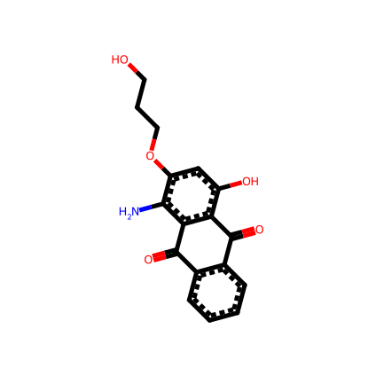 Nc1c(OCCCO)cc(O)c2c1C(=O)c1ccccc1C2=O